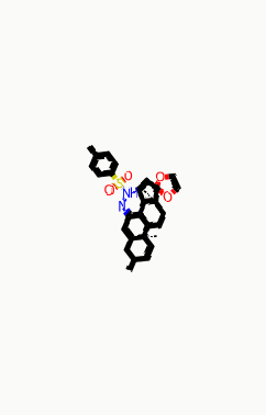 Cc1ccc(S(=O)(=O)N/N=C2/C=C3CC(C)C=C[C@]3(C)C3CC[C@@]4(C)C(C=CC45OCCO5)C23)cc1